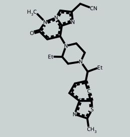 CCC(c1ccc2nc(C)sc2c1)N1CCN(c2cc(=O)n(C)n3cc(CC#N)nc23)C(CC)C1